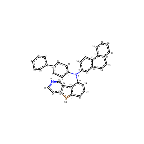 c1ccc(-c2ccc(N(c3ccc4c(ccc5ccccc54)c3)c3cccc4sc5ccncc5c34)cc2)cc1